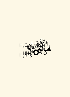 Cc1cc(N(C(=S)NN)C2CCc3sc(NC(=O)C4CC4)c(S(=O)(=O)N(C)C(C)C)c3C2)n(C)n1